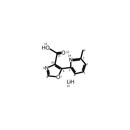 Cc1cccc(-c2ocnc2C(=O)O)n1.[LiH]